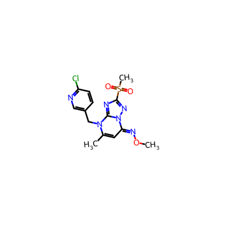 CO/N=c1\cc(C)n(Cc2ccc(Cl)nc2)c2nc(S(C)(=O)=O)nn12